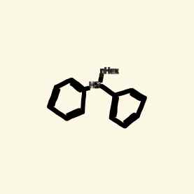 CCCCCC[SiH](c1ccccc1)c1ccccc1